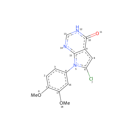 COc1ccc(-n2c(Cl)cc3c(=O)[nH]cnc32)cc1OC